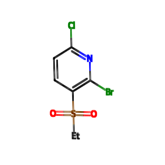 CCS(=O)(=O)c1ccc(Cl)nc1Br